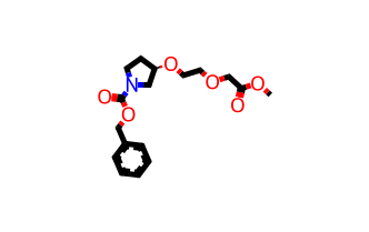 COC(=O)COCCO[C@H]1CCN(C(=O)OCc2ccccc2)C1